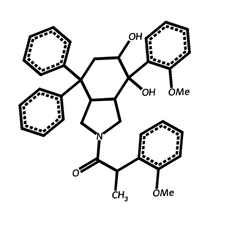 COc1ccccc1C(C)C(=O)N1CC2C(C1)C(O)(c1ccccc1OC)C(O)CC2(c1ccccc1)c1ccccc1